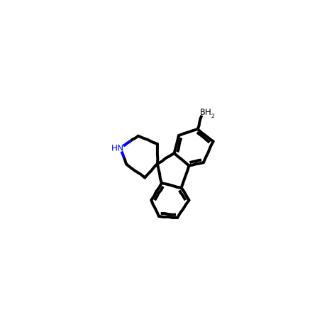 Bc1ccc2c(c1)C1(CCNCC1)c1ccccc1-2